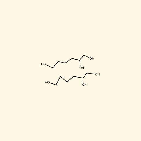 OCCCCC(O)CO.OCCCCC(O)CO